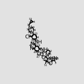 CN[C@@H](C)C(=O)N[C@H](C(=O)N1CCC[C@H]1C(=O)Nc1cc2c(Nc3ccc(N4CCN(CC5CC5)CC4)c(Cl)c3)ncnc2cc1OC)C(C)(C)C